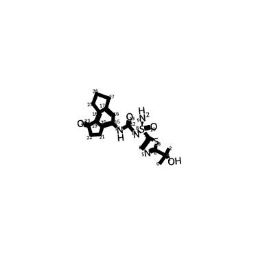 CC(C)(O)c1ncc([S@@](N)(=O)=NC(=O)Nc2cc3c(c4c2CCC4=O)CCC3)s1